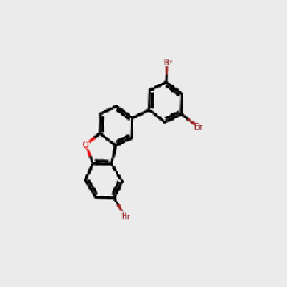 Brc1cc(Br)cc(-c2ccc3oc4ccc(Br)cc4c3c2)c1